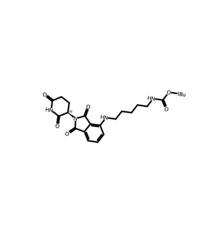 CC(C)(C)OC(=O)NCCCCCNc1cccc2c1C(=O)N([C@@H]1CCC(=O)NC1=O)C2=O